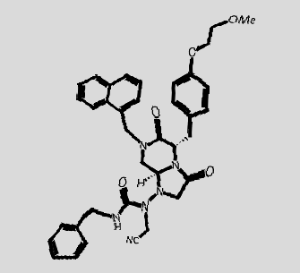 COCCOc1ccc(C[C@H]2C(=O)N(Cc3cccc4ccccc34)C[C@H]3N2C(=O)CN3N(CC#N)C(=O)NCc2ccccc2)cc1